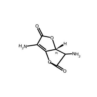 NC1=C2OC(=O)C(N)[C@H]2OC1=O